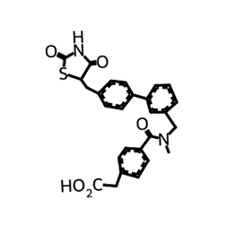 CN(Cc1cccc(-c2ccc(CC3SC(=O)NC3=O)cc2)c1)C(=O)c1ccc(CC(=O)O)cc1